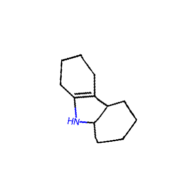 C1CCC2=C(C1)NC1CCCCC21